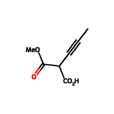 CC#CC(C(=O)O)C(=O)OC